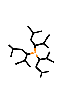 CC(C)CC(C(C)C)P(C(CC(C)C)C(C)C)C(CC(C)C)C(C)C